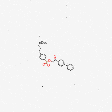 CCCCCCCCCCCCCc1ccc(S(=O)(=O)OCC(=O)c2ccc(-c3ccccc3)cc2)cc1